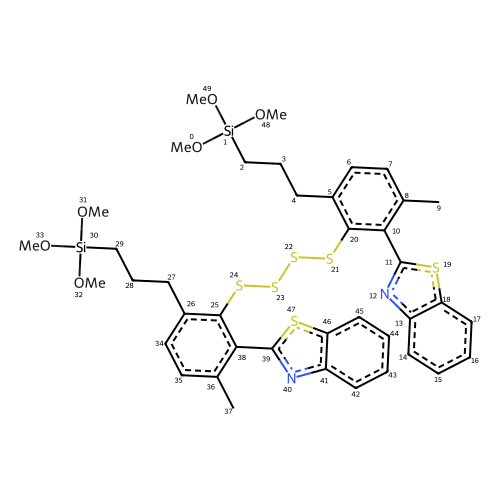 CO[Si](CCCc1ccc(C)c(-c2nc3ccccc3s2)c1SSSSc1c(CCC[Si](OC)(OC)OC)ccc(C)c1-c1nc2ccccc2s1)(OC)OC